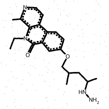 CCn1c(=O)c2cc(OCC(C)CC(C)NN)ccc2c2ccnc(C)c21